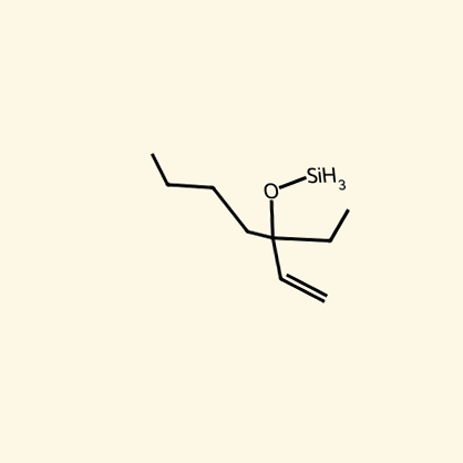 C=CC(CC)(CCCC)O[SiH3]